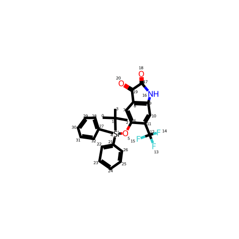 CC(C)(C)[Si](Oc1cc2c(cc1C(F)(F)F)NC(=O)C2=O)(c1ccccc1)c1ccccc1